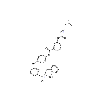 CN(C)C/C=C/C(=O)Nc1cccc(C(=O)Nc2ccc(Nc3nccc(/C(C#N)=C4/Nc5ccccc5S4)n3)cc2)c1